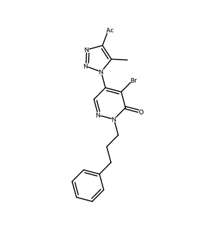 CC(=O)c1nnn(-c2cnn(CCCc3ccccc3)c(=O)c2Br)c1C